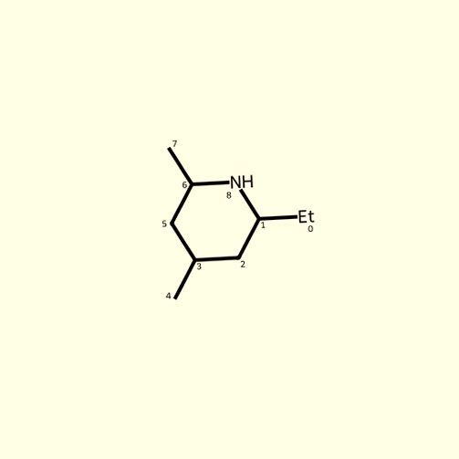 CCC1CC(C)CC(C)N1